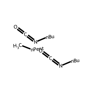 CCCCCC.CCCCN=C=O.CCCCN=C=O